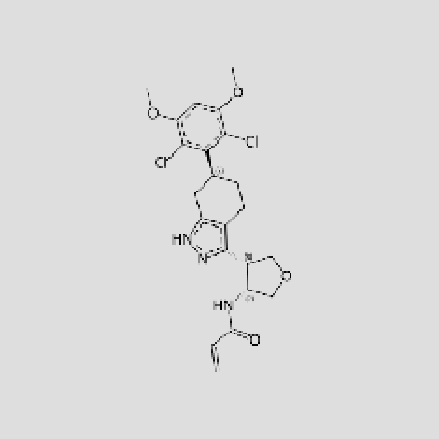 C=CC(=O)N[C@H]1COC[C@H]1c1n[nH]c2c1CC[C@H](c1c(Cl)c(OC)cc(OC)c1Cl)C2